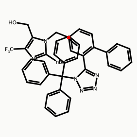 CCCCc1nc(C(F)(F)F)c(CO)n1Cc1ccc(-c2ccccc2)c(-c2nnnn2C(c2ccccc2)(c2ccccc2)c2ccccc2)c1